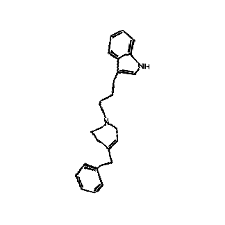 C1=C(Cc2ccccc2)CCN(CCCc2c[nH]c3ccccc23)C1